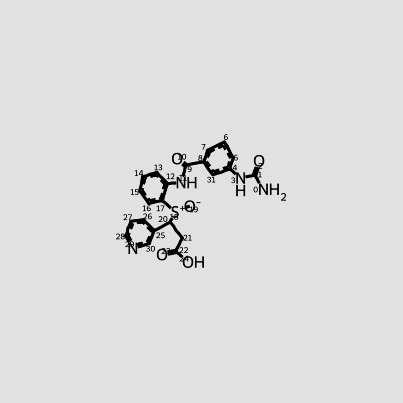 NC(=O)Nc1cccc(C(=O)Nc2ccccc2[S+]([O-])C(CC(=O)O)c2cccnc2)c1